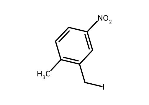 Cc1ccc([N+](=O)[O-])cc1CI